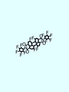 O=C1c2cc(F)c3c4c(F)cc5c6c(cc(F)c(c7c(F)cc(c2c37)C(=O)N1c1c(F)c(F)c(F)c(F)c1F)c64)C(=O)N(c1c(F)c(F)c(F)c(F)c1F)C5=O